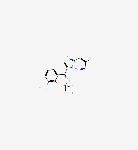 CCCCC1(C)N=C(c2cnc3cc(C)cnn23)c2cccc(C)c2O1